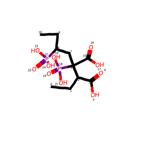 CCC(C(=O)O)C(CC(CC)P(=O)(O)O)(C(=O)O)P(=O)(O)O